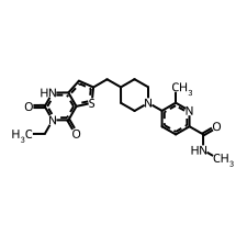 CCn1c(=O)[nH]c2cc(CC3CCN(c4ccc(C(=O)NC)nc4C)CC3)sc2c1=O